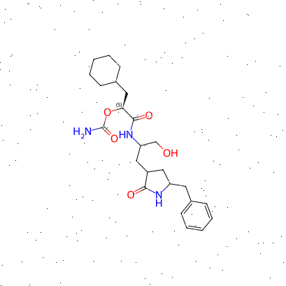 NC(=O)O[C@@H](CC1CCCCC1)C(=O)NC(CO)CC1CC(Cc2ccccc2)NC1=O